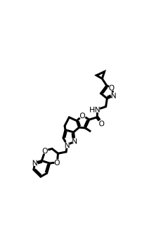 Cc1c(C(=O)NCc2cc(C3CC3)on2)oc2c1-c1nn(CC3COc4ncccc4O3)cc1CC2